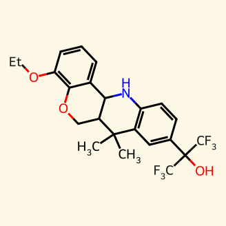 CCOc1cccc2c1OCC1C2Nc2ccc(C(O)(C(F)(F)F)C(F)(F)F)cc2C1(C)C